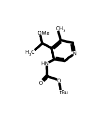 COC(C)c1c(C)cncc1NC(=O)OC(C)(C)C